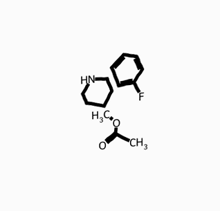 C1CCNCC1.COC(C)=O.Fc1ccccc1